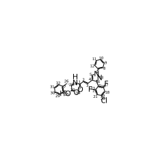 O=C(/C=C/c1cn(-c2ccccc2)nc1-c1c(F)cc(Cl)cc1F)N[C@@H](Cc1ccccc1)C(=O)O